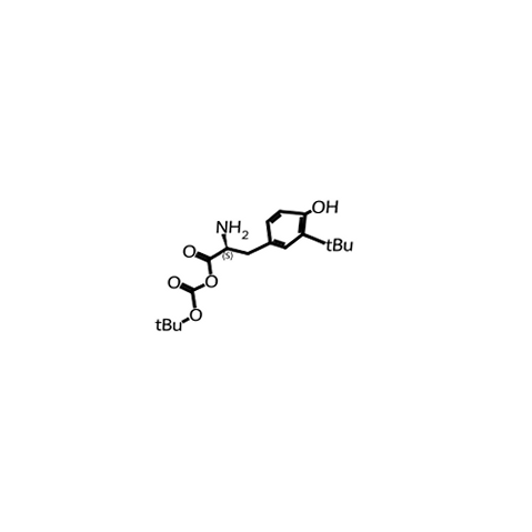 CC(C)(C)OC(=O)OC(=O)[C@@H](N)Cc1ccc(O)c(C(C)(C)C)c1